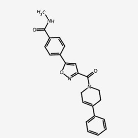 CNC(=O)c1ccc(-c2cc(C(=O)N3CC=C(c4ccccc4)CC3)no2)cc1